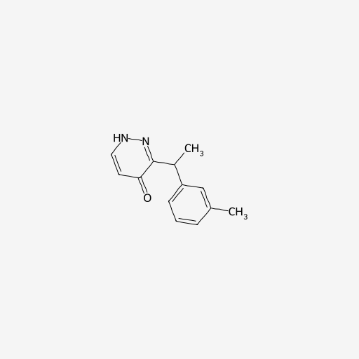 Cc1cccc(C(C)c2n[nH]ccc2=O)c1